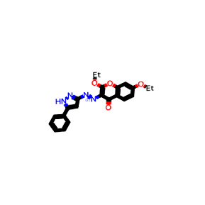 CCOc1ccc2c(=O)c(/N=N/c3cc(-c4ccccc4)[nH]n3)c(OCC)oc2c1